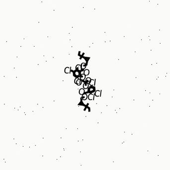 CCC(C)(C)C1CC1COC(=O)c1c(Cl)c(Cl)cc(Cl)c1OC(=O)C(=O)Oc1c(Cl)cc(Cl)c(Cl)c1C(=O)OCC1CC1C(C)(C)CC